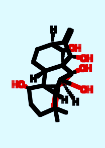 C=C1[C@@H](O)[C@]23C(O)[C@H]1CC[C@H]2[C@@]12C(=O)O[C@]3(O)[C@@H](O)[C@@H]1C(C)(C)CC[C@@H]2O